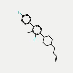 C=CCCC1CCC(c2ccc(-c3ccc(F)cc3)c(C)c2F)CC1